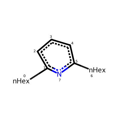 CCCCCCc1cccc(CCCCCC)n1